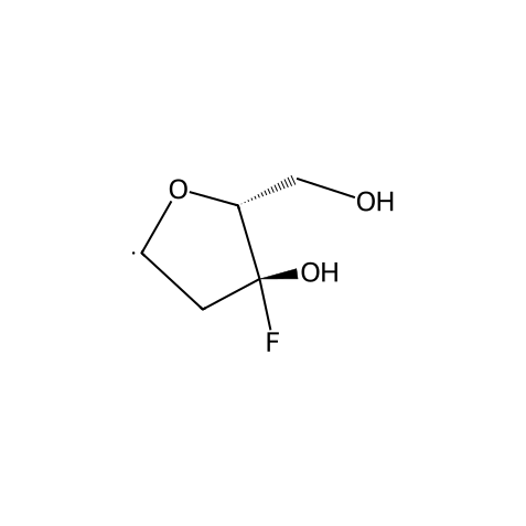 OC[C@H]1O[CH]C[C@@]1(O)F